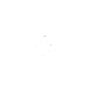 C[N+](C)(C)Cc1ccccc1.C[N+](C)(C)Cc1ccccc1.[H+].[O-]B([O-])[O-]